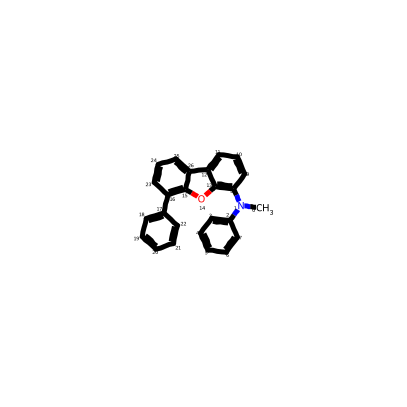 CN(c1ccccc1)c1cccc2c1oc1c(-c3ccccc3)cccc12